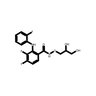 O=C(NOCC(O)CO)c1ccc(F)c(F)c1Nc1ccccc1F